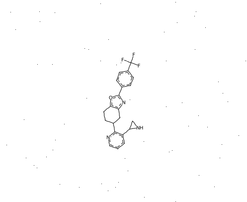 FC(F)(F)c1ccc(-c2nc3c(o2)CCC(c2ncccc2C2CN2)C3)cc1